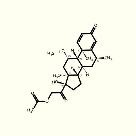 CC(=O)OCC(=O)[C@@]1(O)CC[C@H]2[C@@H]3C[C@H](C)C4=CC(=O)C=C[C@]4(C)[C@H]3[C@@H](O)C[C@@]21C.S